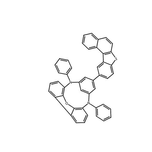 c1ccc(N2c3cc(-c4ccc5sc6ccc7ccccc7c6c5c4)cc(c3)N(c3ccccc3)c3cccc4c3oc3c2cccc34)cc1